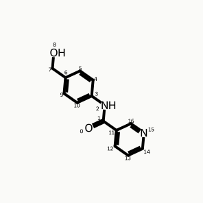 O=C(Nc1ccc(CO)cc1)c1cccnc1